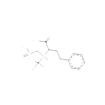 O=C(O)C(CCc1ccccc1)[N+]([O-])(CP(=O)(O)O)C(F)(F)F